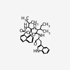 CCC(C)[C@H](NC(=O)[C@@H](NS(=O)(=O)c1cccc2ccccc12)C(C)CC)C(=O)N[C@H](C=O)Cc1c[nH]c2ccccc12